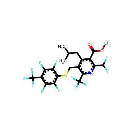 COC(=O)c1c(C(F)F)nc(C(F)(F)F)c(CSc2c(F)c(F)c(C(F)(F)F)c(F)c2F)c1CC(C)C